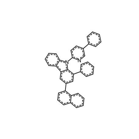 c1ccc(-c2ccc(-n3c4ccccc4c4cc(-c5cccc6ccccc56)cc(-c5ccccc5)c43)nc2)cc1